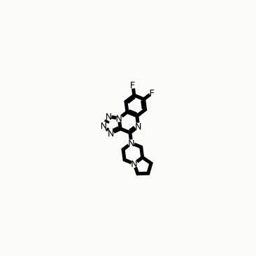 Fc1cc2nc(N3CCN4CCCC4C3)c3nnnn3c2cc1F